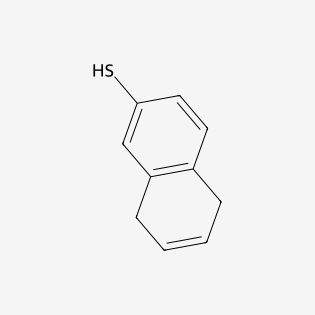 Sc1ccc2c(c1)CC=CC2